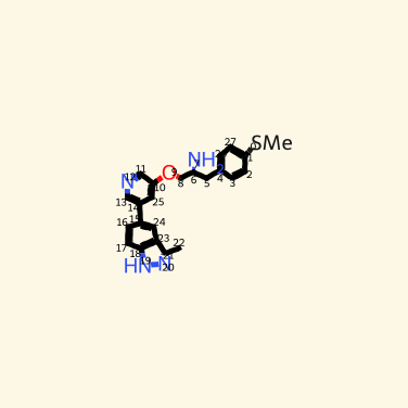 CSc1ccc(C[C@H](N)COc2cncc(-c3ccc4[nH]nc(C)c4c3)c2)cc1